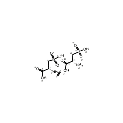 C=C.N[C@@H](CS(=O)(=O)O)C(=O)O.N[C@@H](CS(=O)(=O)O)C(=O)O